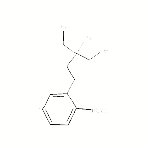 CCCCCCCCc1ccccc1CCC(C)(CO)CO